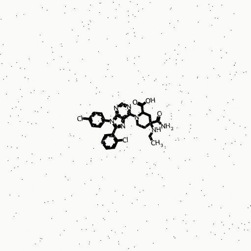 CCNC1(C(N)=O)CCN(c2ncnc3c2nc(-c2ccccc2Cl)n3-c2ccc(Cl)cc2)C(C(=O)O)C1